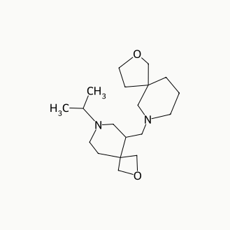 CC(C)N1CCC2(COC2)C(CN2CCCC3(CCOC3)C2)C1